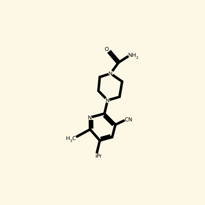 Cc1nc(N2CCN(C(N)=O)CC2)c(C#N)cc1C(C)C